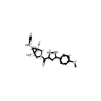 COc1ccc(C2CC(C(=O)N3C[C@@H]4[C@H](C3)[C@H]4NC#N)NN2)cc1